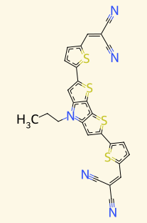 CCCn1c2cc(-c3ccc(C=C(C#N)C#N)s3)sc2c2sc(-c3ccc(C=C(C#N)C#N)s3)cc21